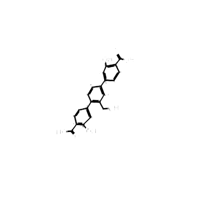 O=C(O)c1ccc(-c2ccc(-c3ccc(C(=O)O)c(O)c3)c(CO)c2)cc1O